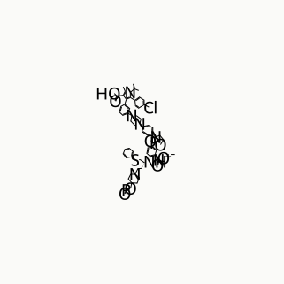 Cc1c(C(=O)O)c(-c2cccc(N3CCN(c4ccc(N5CCO[P@]5(=O)c5ccc(N[C@H](CCN6CCC(OP=O)CC6)CSc6ccccc6)c([N+](=O)[O-])c5)cc4)CC3)c2)c(-c2ccc(Cl)cc2)n1C(C)C